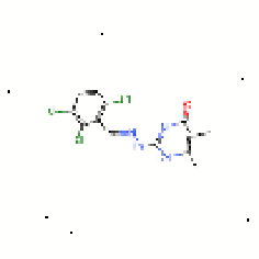 Cc1[nH]c(NN=Cc2c(Cl)ccc(Cl)c2Cl)nc(=O)c1C